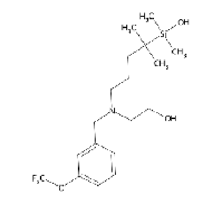 CC(C)(CCCN(CCO)Cc1cccc(OC(F)(F)F)c1)[Si](C)(C)O